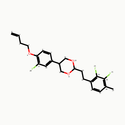 C=CCCOc1ccc(C2COC(CCc3ccc(C)c(F)c3F)OC2)cc1F